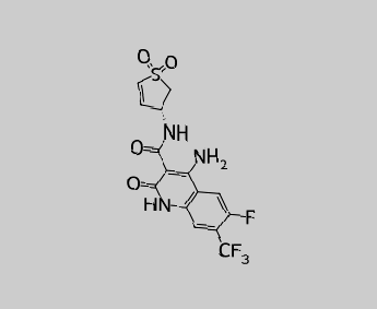 Nc1c(C(=O)N[C@@H]2C=CS(=O)(=O)C2)c(=O)[nH]c2cc(C(F)(F)F)c(F)cc12